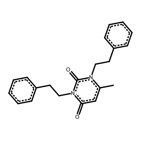 Cc1cc(=O)n(CCc2ccccc2)c(=O)n1CCc1ccccc1